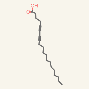 CCCCCCCCCCCCC#CC#CCCCC(=O)O